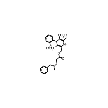 CCOC(=O)C1=C(C)NC(COC(=O)CCN(C)Cc2ccccc2)=C(C(=O)OCC)C1c1ccccc1Cl